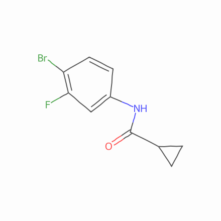 O=C(Nc1ccc(Br)c(F)c1)C1CC1